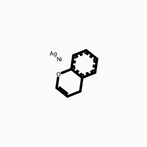 C1=COc2ccccc2C1.[Ag].[Ni]